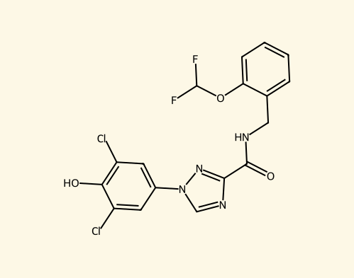 O=C(NCc1ccccc1OC(F)F)c1ncn(-c2cc(Cl)c(O)c(Cl)c2)n1